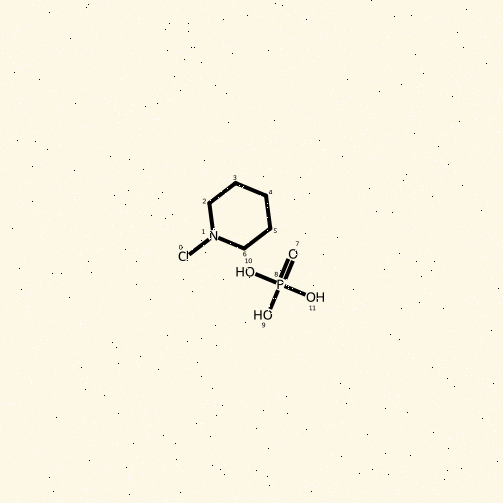 ClN1CCCCC1.O=P(O)(O)O